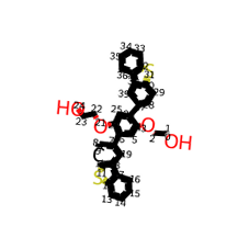 OCCOc1cc(-c2ccc3sc4ccccc4c3c2)c(OCCO)cc1-c1ccc2sc3ccccc3c2c1